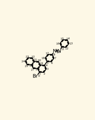 Brc1ccc(-c2ccc(N=Nc3ccccc3)cc2)c2cc3ccccc3cc12